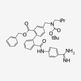 CC(C)CN(Cc1ccc(-c2ccccc2C(=O)Nc2ccc(C(=N)N)cc2)c(C(=O)OCc2ccccc2)c1)C(=O)OC(C)(C)C